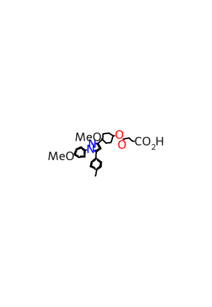 COc1ccc(-n2nc(C3(OC)CCC(OC(=O)CCC(=O)O)CC3)cc2-c2ccc(C)cc2)cc1